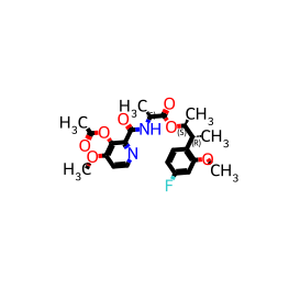 COc1cc(F)ccc1[C@@H](C)[C@H](C)OC(=O)[C@H](C)NC(=O)c1nccc(OC)c1OC(C)=O